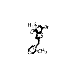 C[C@H]1COCCN1Cc1cc2c(=O)n(C)cc(Br)c2s1